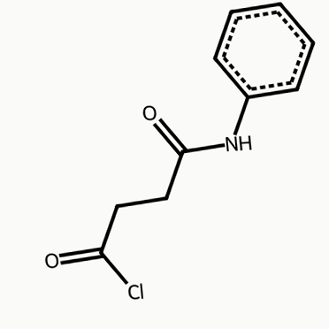 O=C(Cl)CCC(=O)Nc1ccccc1